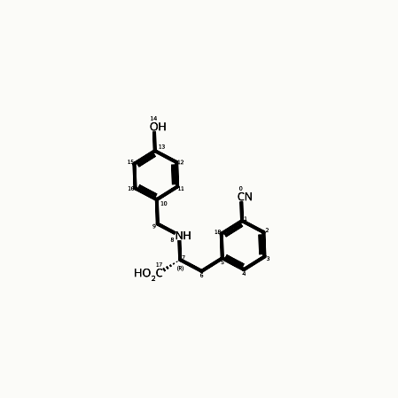 N#Cc1cccc(C[C@@H](NCc2ccc(O)cc2)C(=O)O)c1